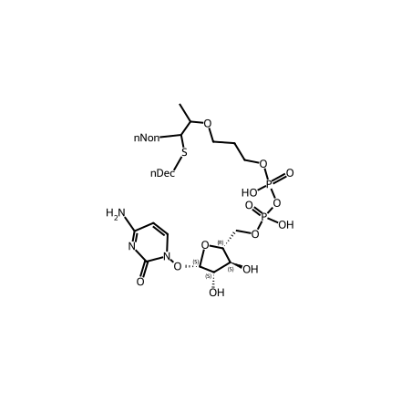 CCCCCCCCCCSC(CCCCCCCCC)C(C)OCCCOP(=O)(O)OP(=O)(O)OC[C@H]1O[C@@H](On2ccc(N)nc2=O)[C@@H](O)[C@@H]1O